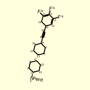 CCCCC[C@H]1CC[C@H](C2CCC(C#C[C]3C=C(F)C(F)=C(F)C3)CC2)CC1